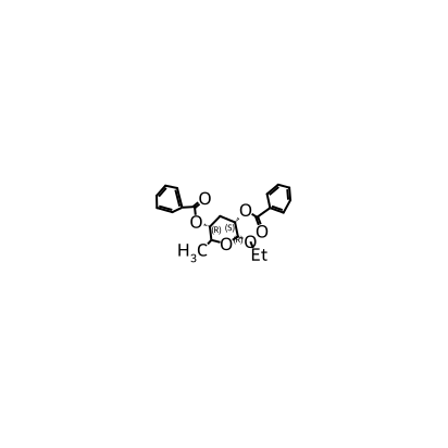 CCO[C@@H]1OC(C)[C@H](OC(=O)c2ccccc2)C[C@@H]1OC(=O)c1ccccc1